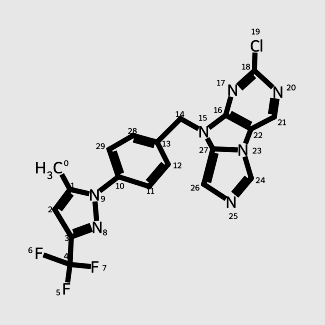 Cc1cc(C(F)(F)F)nn1-c1ccc(Cn2c3nc(Cl)ncc3n3cncc23)cc1